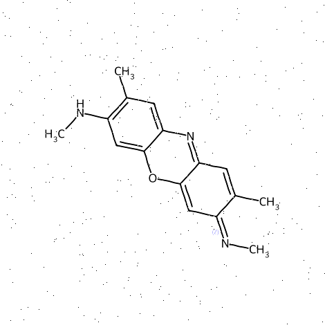 C/N=c1/cc2oc3cc(NC)c(C)cc3nc-2cc1C